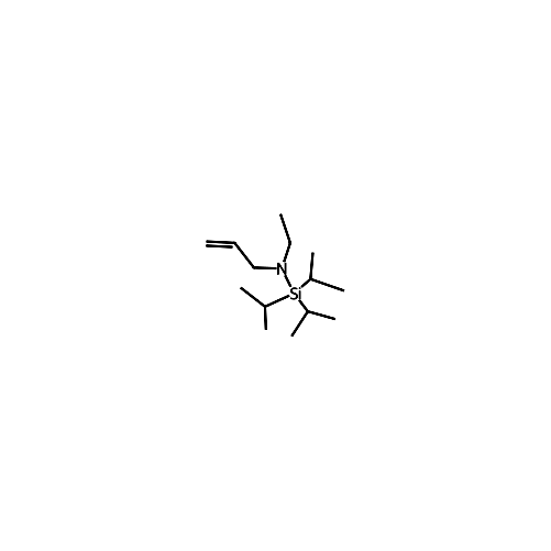 C=CCN(CC)[Si](C(C)C)(C(C)C)C(C)C